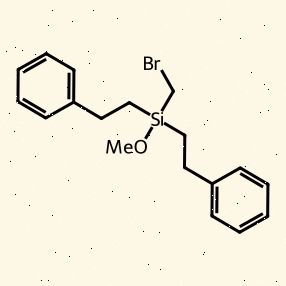 CO[Si](CBr)(CCc1ccccc1)CCc1ccccc1